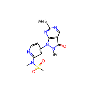 CSc1ncc2c(=O)n(C(C)C)n(-c3ccnc(N(C)S(C)(=O)=O)c3)c2n1